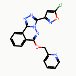 Clc1cc(-c2nnc3c4ccccc4c(OCc4ccccn4)nn23)no1